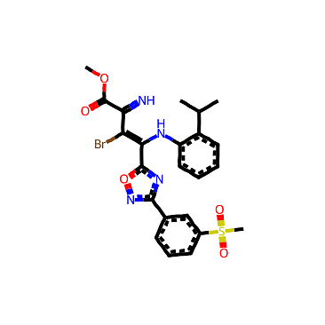 COC(=O)C(=N)/C(Br)=C(\Nc1ccccc1C(C)C)c1nc(-c2cccc(S(C)(=O)=O)c2)no1